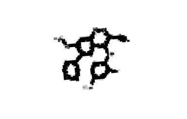 COc1cc2nnc(C#N)c(Nc3ccc(C)cc3F)c2cc1-c1ccncc1